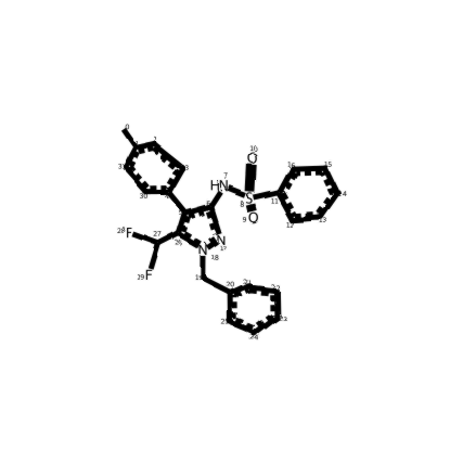 Cc1ccc(-c2c(NS(=O)(=O)c3ccccc3)nn(Cc3ccccc3)c2C(F)F)cc1